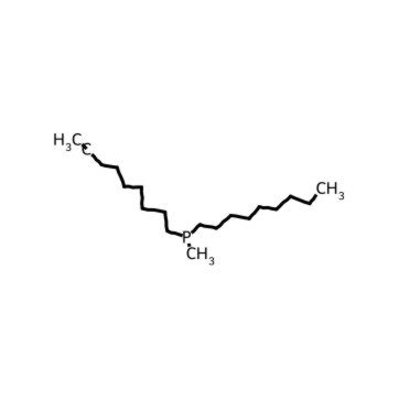 CCCCCCCCCP(C)CCCCCCCCC